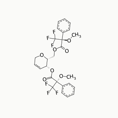 CO[C@](C(=O)OC[C@H]1OCC=C[C@H]1OC(=O)[C@@](OC)(c1ccccc1)C(F)(F)F)(c1ccccc1)C(F)(F)F